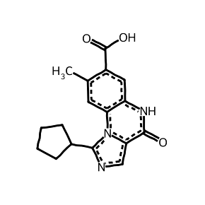 Cc1cc2c(cc1C(=O)O)[nH]c(=O)c1cnc(C3CCCC3)n12